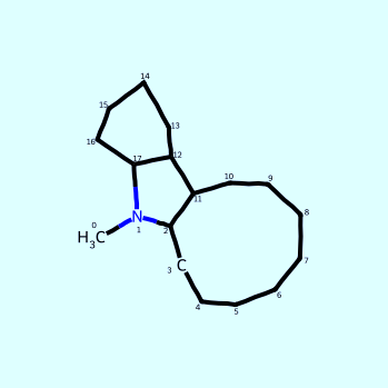 CN1C2CCCCCCCCC2C2CCCCC21